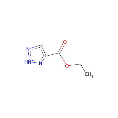 CCOC(=O)c1[c]n[nH]n1